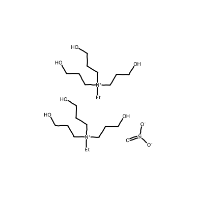 CC[N+](CCCO)(CCCO)CCCO.CC[N+](CCCO)(CCCO)CCCO.O=[Si]([O-])[O-]